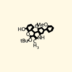 COc1ccccc1C1CC(=O)C2=C(C1)NC(C)=C(C(=O)OC(C)(C)C)C2c1cccc(O)c1